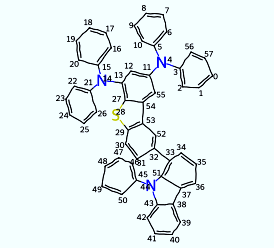 c1ccc(N(c2ccccc2)c2cc(N(c3ccccc3)c3ccccc3)c3sc4ccc(-c5cccc6c7ccccc7n(-c7ccccc7)c56)cc4c3c2)cc1